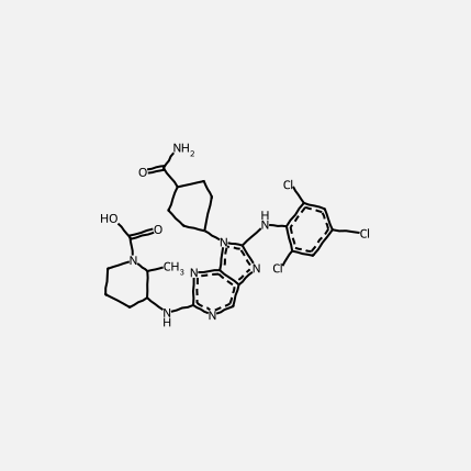 CC1C(Nc2ncc3nc(Nc4c(Cl)cc(Cl)cc4Cl)n(C4CCC(C(N)=O)CC4)c3n2)CCCN1C(=O)O